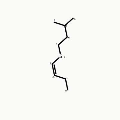 CC/C=C\SCCC(C)C